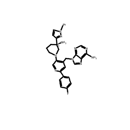 CC(C)n1ccc([C@@]2(N)CCCN(c3cnc(-c4ccc(F)cc4)cc3Cn3cnc4c(N)ncnc43)C2)n1